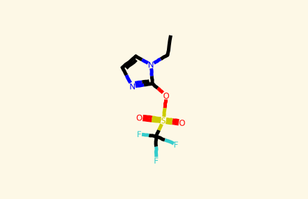 CCn1ccnc1OS(=O)(=O)C(F)(F)F